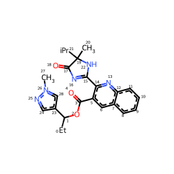 CCC(OC(=O)c1cc2ccccc2nc1C1=NC(=O)C(C)(C(C)C)N1)c1cnn(C)c1